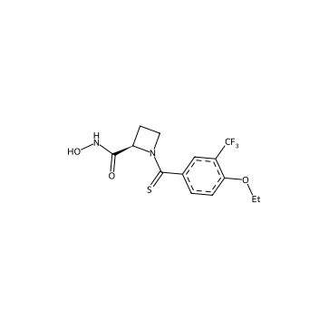 CCOc1ccc(C(=S)N2CC[C@@H]2C(=O)NO)cc1C(F)(F)F